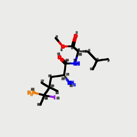 COC(=O)[C@H](CC(C)C)NC(=O)[C@H](N)CC(C)(C)C(C)(P)I